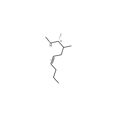 CCC/C=C\CC(C)[C@@H](C)NC